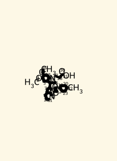 COc1cc2c(-c3cc4cccnc4n3S(=O)(=O)c3ccc(C)cc3)cn(CCC(=O)O)c2cc1OC